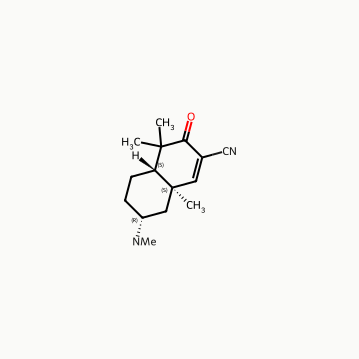 CN[C@@H]1CC[C@@H]2C(C)(C)C(=O)C(C#N)=C[C@@]2(C)C1